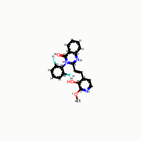 CCOc1nccc(/C=C/c2nc3ccccc3c(=O)n2-c2c(F)cccc2F)c1O